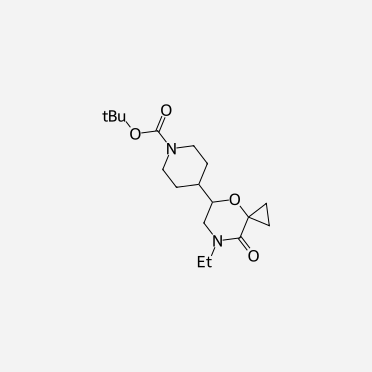 CCN1CC(C2CCN(C(=O)OC(C)(C)C)CC2)OC2(CC2)C1=O